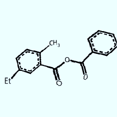 CCc1ccc(C)c(C(=O)OC(=O)c2ccccc2)c1